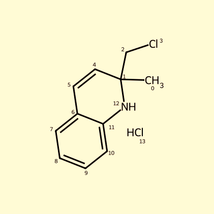 CC1(CCl)C=Cc2ccccc2N1.Cl